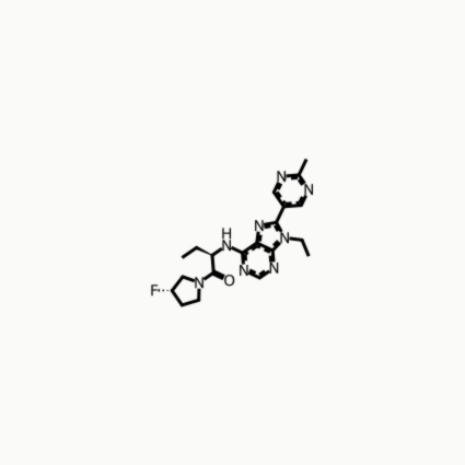 CC[C@@H](Nc1ncnc2c1nc(-c1cnc(C)nc1)n2CC)C(=O)N1CC[C@H](F)C1